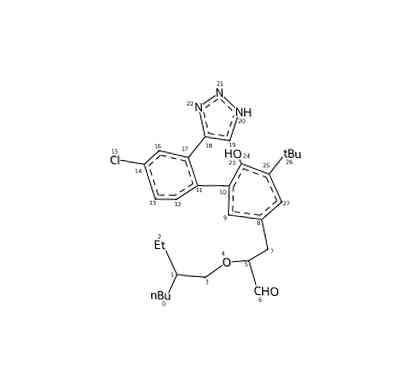 CCCCC(CC)COC(C=O)Cc1cc(-c2ccc(Cl)cc2-c2c[nH]nn2)c(O)c(C(C)(C)C)c1